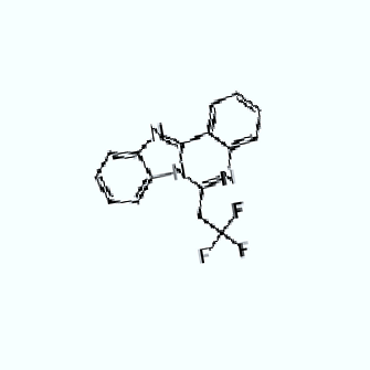 FC(F)(F)Cc1nc2ccccc2c2nc3ccccc3n12